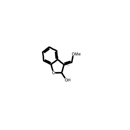 CO/C=C1\c2ccccc2OC1O